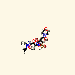 C1CC1.CCc1noc(C(=O)[C@H](CC)NC(=O)C(CC(=O)N2CCOCC2)CS(C)(=O)=O)n1